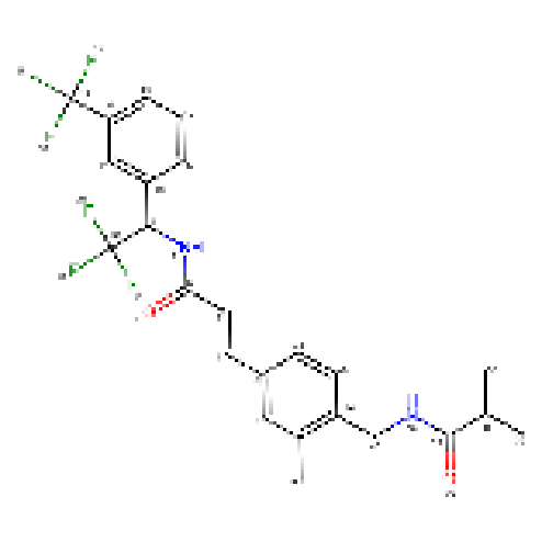 Cc1cc(/C=C/C(=O)NC(c2cccc(C(F)(F)F)c2)C(F)(F)F)ccc1CNC(=O)C(C)C